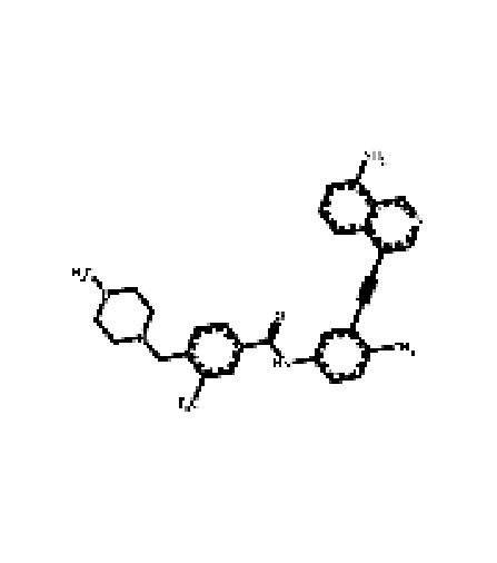 Cc1ccc(NC(=O)c2ccc(CN3CCN(C)CC3)c(C(F)(F)F)c2)cc1C#Cc1cncc2c(N)cccc12